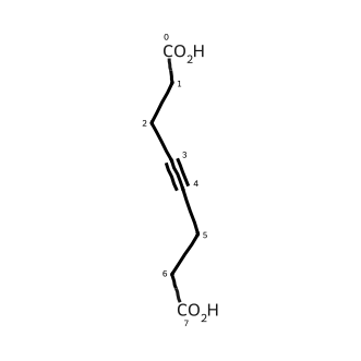 O=C(O)CCC#CCCC(=O)O